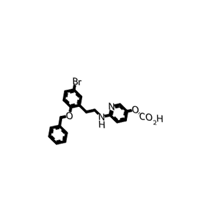 O=C(O)Oc1ccc(NCCc2cc(Br)ccc2OCc2ccccc2)nc1